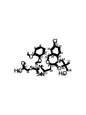 COc1cccc([C@H]2O[C@H](Cc3nsc(SCC(=O)O)n3)C(=O)N(CC(C)(C)CO)c3ccc(Cl)cc32)c1OC